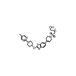 Cc1cnc(N2CCC(Oc3nc4ccc(C5=CCN(S(=O)(=O)C[C@H](C)CO)CC5)cc4s3)CC2)nc1